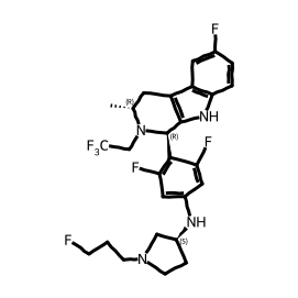 C[C@@H]1Cc2c([nH]c3ccc(F)cc23)[C@@H](c2c(F)cc(N[C@H]3CCN(CCCF)C3)cc2F)N1CC(F)(F)F